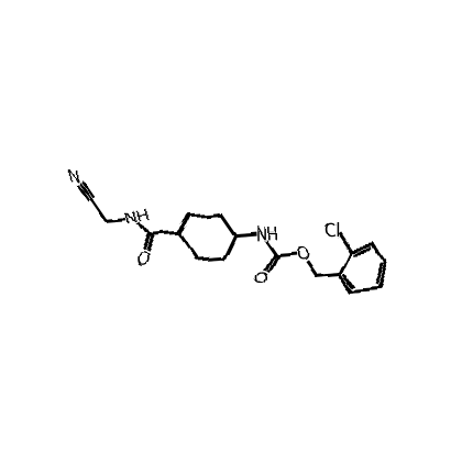 N#CCNC(=O)C1CCC(NC(=O)OCc2ccccc2Cl)CC1